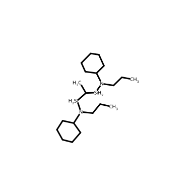 CCCN([SiH2]C(C)[SiH2]N(CCC)C1CCCCC1)C1CCCCC1